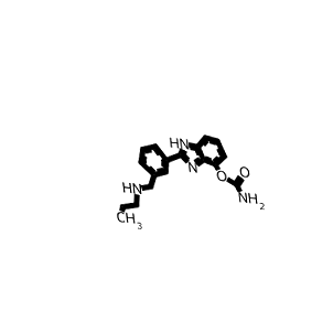 CCCNCc1cccc(-c2nc3c(OC(N)=O)cccc3[nH]2)c1